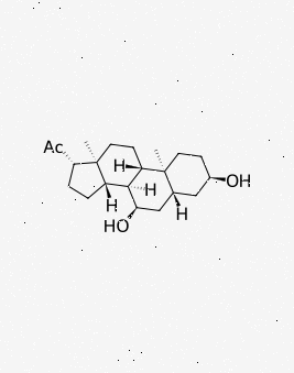 CC(=O)[C@H]1CC[C@H]2[C@@H]3[C@H](O)C[C@H]4C[C@H](O)CC[C@]4(C)[C@H]3CC[C@]12C